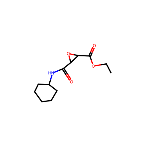 CCOC(=O)C1OC1C(=O)NC1CCCCC1